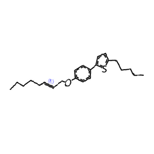 CCCCC/C=C/COc1ccc(-c2ccc(CCCCC)s2)cc1